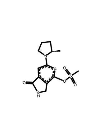 C[C@@H]1CCCN1c1cc2c(c(OS(C)(=O)=O)n1)CNC2=O